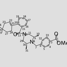 COC(=O)c1ccc(CN2[C@H](C)CN(C(=O)c3ccccc3C3=CCC(C)(C)CC3)C[C@@H]2C)cc1